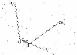 CCCCCCCCCCCCCCCCCC(=O)OOOC(=O)C(CCCCCC)CCCCCCCCCCCCCCCC